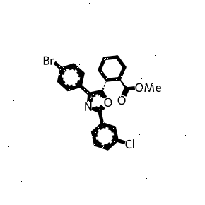 COC(=O)[C@@H]1CCCC[C@H]1c1oc(-c2cccc(Cl)c2)nc1-c1ccc(Br)cc1